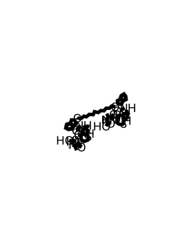 CC(C(=O)N[C@H]1CCS[C@H]2CC(C)(C)[C@@H](C(=O)N[C@H]3c4ccccc4C[C@H]3OCCCCCCCCCCCCO[C@@H]3Cc4ccccc4[C@@H]3NC(=O)[C@H]3N4C(=O)[C@@H](NC(=O)C(C)N(C)C(=O)O)CCS[C@H]4CC3(C)C)N2C1=O)N(C)C(=O)O